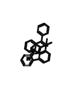 CC(C)C1=CC[C]([Zr]([CH3])([CH3])(=[C](c2ccccc2)c2ccccc2)[c]2cccc3c2Cc2ccccc2-3)=C1